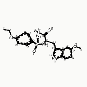 CCOc1ccc(S(=O)(=O)NC(Cc2c[nH]c3ccc(OC)cc23)C(=O)O)cc1